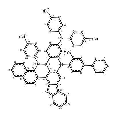 Cc1cc(-c2ccccc2)ccc1N1c2cc(N(c3ccc(C(C)(C)C)cc3)c3ccc(C(C)(C)C)cc3)ccc2B2c3c1cc1c(oc4ccccc41)c3-c1ccc3ccccc3c1N2c1ccc(C(C)(C)C)cc1